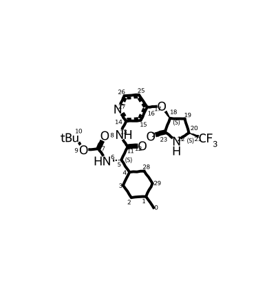 CC1CCC([C@H](NC(=O)OC(C)(C)C)C(=O)Nc2cc(O[C@H]3C[C@@H](C(F)(F)F)NC3=O)ccn2)CC1